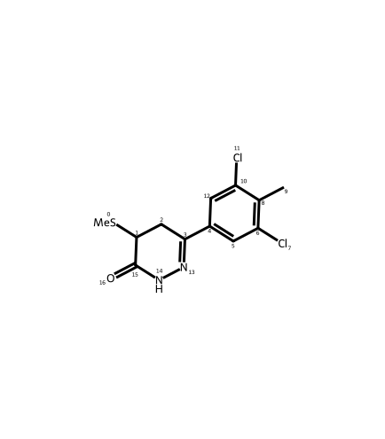 CSC1CC(c2cc(Cl)c(C)c(Cl)c2)=NNC1=O